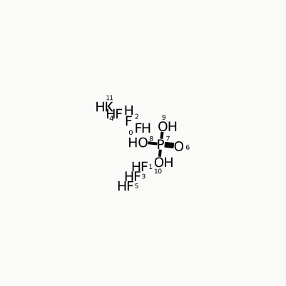 F.F.F.F.F.F.O=P(O)(O)O.[KH]